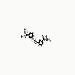 N=C(N)c1cccc(OCOc2cccc(C(=N)N)c2)c1